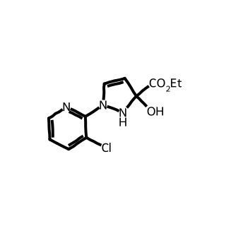 CCOC(=O)C1(O)C=CN(c2ncccc2Cl)N1